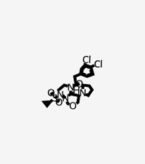 O=C(Cc1ccc(Cl)c(Cl)c1)N1CCN(S(=O)(=O)C2CC2)N2COCC(N3CCCC3)[C@@H]12